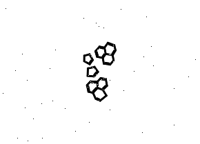 C1=CCCC1.C1=CCCC1.C1=Cc2cccc3cccc(c23)C1.C1=Cc2cccc3cccc(c23)C1